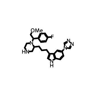 COCC(c1ccc(F)cc1)N1CCNCC1CCCc1c[nH]c2ccc(-n3cnnc3)cc12